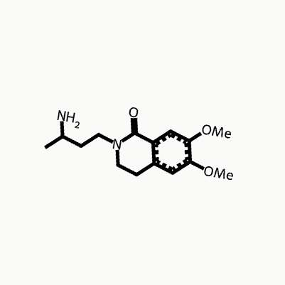 COc1cc2c(cc1OC)C(=O)N(CCC(C)N)CC2